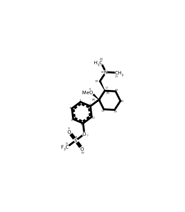 CO[C@]1(c2cccc(OS(=O)(=O)C(F)(F)F)c2)CCCC[C@@H]1CN(C)C